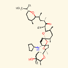 CCC(C(=O)O)[C@H]1CC[C@H](C)C([C@@H](C)C[C@H](C)C(=O)[C@H](CC)[C@H]2O[C@]3(C=C[C@@H](NC4CCCC4)[C@]4(CC[C@@](C)([C@H]5CC[C@](O)(CC)[C@H](C)O5)O4)O3)[C@H](C)C[C@@H]2C)O1